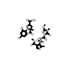 CC1(C(=O)O)CC(C(=O)O)=NN1c1ccc(Cl)cc1Cl.COC(=O)c1csc(C)c1S(=O)(=O)NC(=O)n1nc(OC)n(C)c1=O